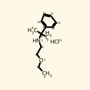 CCOCCNC(C)(C)c1ccccc1.Cl